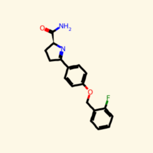 NC(=O)[C@@H]1CCC(c2ccc(OCc3ccccc3F)cc2)=N1